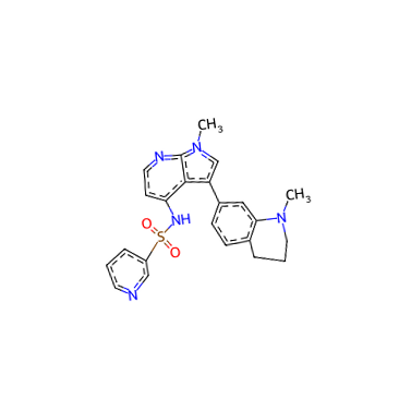 CN1CCCc2ccc(-c3cn(C)c4nccc(NS(=O)(=O)c5cccnc5)c34)cc21